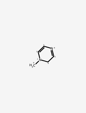 CN1C=CN=[C]C1